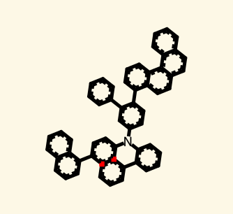 c1ccc(-c2cc(N(c3ccc(-c4cccc5ccccc45)cc3)c3ccccc3-c3ccccc3)ccc2-c2cccc3c2ccc2ccc4ccccc4c23)cc1